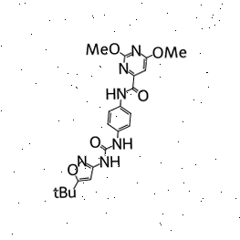 COc1cc(C(=O)Nc2ccc(NC(=O)Nc3cc(C(C)(C)C)on3)cc2)nc(OC)n1